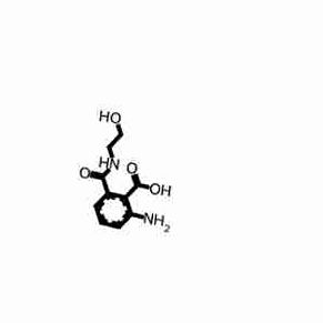 Nc1cccc(C(=O)NCCO)c1C(=O)O